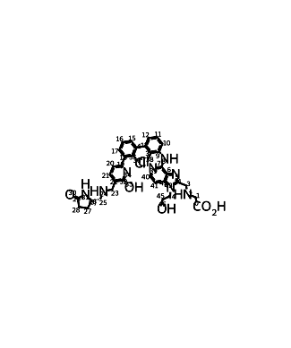 O=C(O)CNCc1nc2c(Nc3cccc(-c4cccc(-c5ccc(CNC[C@@H]6CCC(=O)N6)c(O)n5)c4Cl)c3Cl)nccc2n1CCO